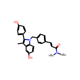 CCCCN(CCCC)C(=O)C=Cc1ccc(Cn2c(-c3ccc(O)cc3)c(C)c3cc(O)ccc32)cc1